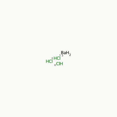 Cl.Cl.Cl.[BaH2]